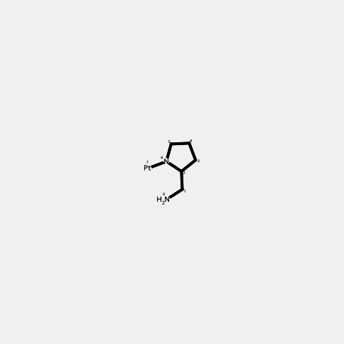 NCC1CCC[N]1[Pt]